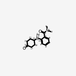 CN(C)C(=O)c1ccccc1NC1CCC(=O)CC1